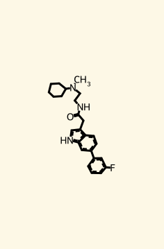 CN(CCNC(=O)Cc1c[nH]c2cc(-c3cccc(F)c3)ccc12)C1CCCCC1